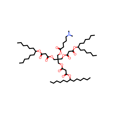 CCCCCCC(CCCCCC)OC(=O)CC(=O)OCC(COC(=O)CCCCN(C)C)(COC(=O)CC(=O)OC(CCCCCC)CCCCCC)COC(=O)CC(=O)OC(CCCCCC)CCCCCC